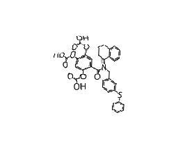 O=C(O)Oc1cc(OC(=O)O)c(C(=O)N(Cc2cccc(Sc3ccccc3)c2)[C@H]2CCCc3ccccc32)cc1OC(=O)O